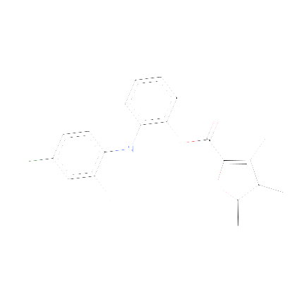 CC1=C(C(=O)Oc2ccccc2Nc2ccc(Cl)cc2Cl)OC(C)C1C